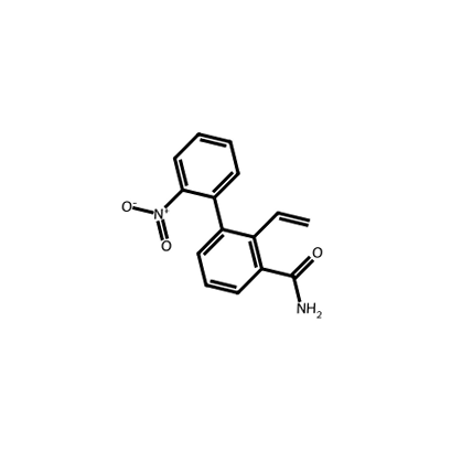 C=Cc1c(C(N)=O)cccc1-c1ccccc1[N+](=O)[O-]